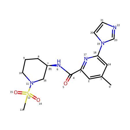 Cc1cc(C(=O)N[C@@H]2CCCN(S(C)(=O)=O)C2)nc(-n2ccnc2)c1